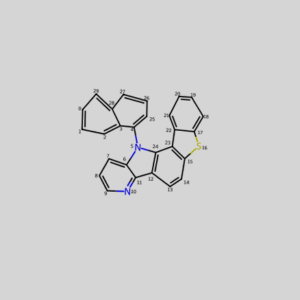 c1ccc2c(-n3c4cccnc4c4ccc5sc6ccccc6c5c43)cccc2c1